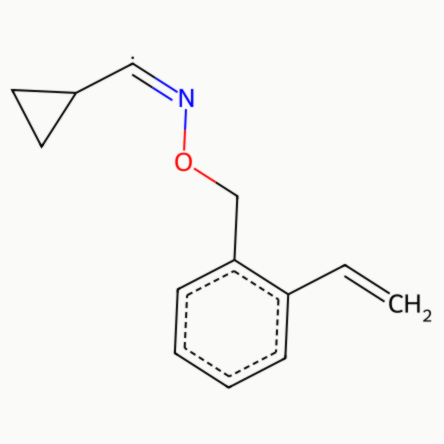 C=Cc1ccccc1CO/N=[C]\C1CC1